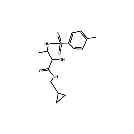 Cc1ccc(S(=O)(=O)NC(C)C(O)C(=O)NCC2CC2)cc1